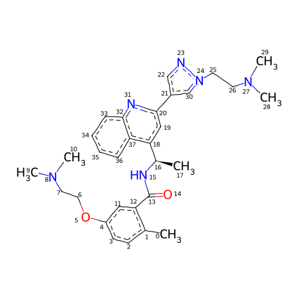 Cc1ccc(OCCN(C)C)cc1C(=O)N[C@H](C)c1cc(-c2cnn(CCN(C)C)c2)nc2ccccc12